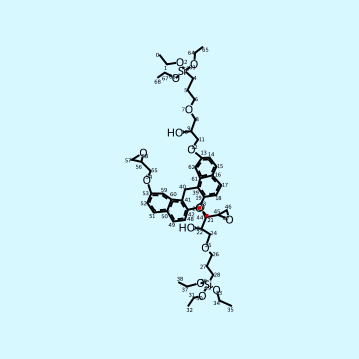 CCO[Si](CCCOCC(O)COc1ccc2ccc(OCC(O)COCCC[Si](OCC)(OCC)OCC)c(Cc3c(OCC4CO4)ccc4ccc(OCC5CO5)cc34)c2c1)(OCC)OCC